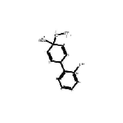 CCCCC1(OC(F)(F)F)C=CC(c2ccccc2F)C=C1